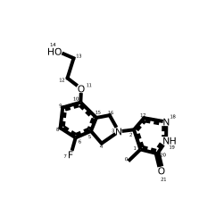 Cc1c(N2Cc3c(F)ccc(OCCO)c3C2)cn[nH]c1=O